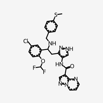 CSc1ccc(CNC(Cc2n[nH]cc2NC(=O)c2cnn3cccnc23)c2cc(Cl)ccc2OC(F)F)cc1